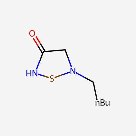 CCCCCN1CC(=O)NS1